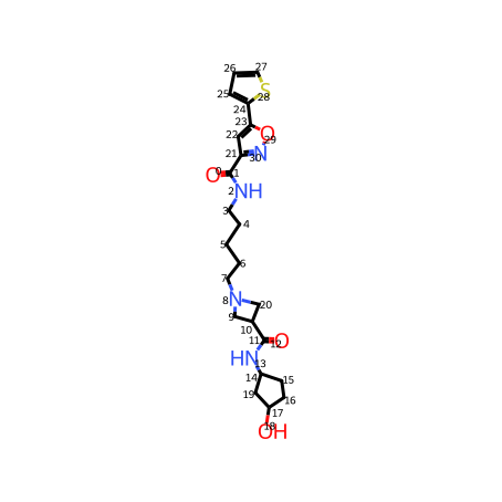 O=C(NCCCCCN1CC(C(=O)NC2CCC(O)C2)C1)c1cc(-c2cccs2)on1